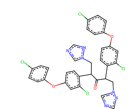 O=C(C(Cn1cncn1)c1ccc(Oc2ccc(Cl)cc2)cc1Cl)C(Cn1cncn1)c1ccc(Oc2ccc(Cl)cc2)cc1Cl